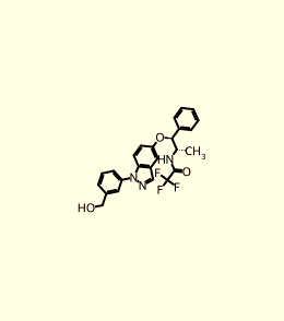 C[C@H](NC(=O)C(F)(F)F)[C@@H](Oc1ccc2c(cnn2-c2cccc(CO)c2)c1)c1ccccc1